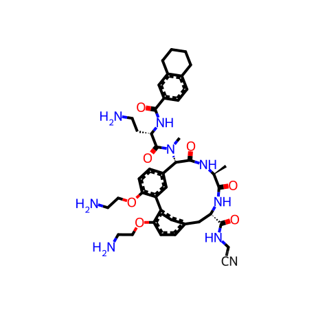 C[C@@H]1NC(=O)[C@@H](N(C)C(=O)[C@H](CCN)NC(=O)c2ccc3c(c2)CCCC3)c2ccc(OCCN)c(c2)-c2cc(ccc2OCCN)C[C@@H](C(=O)NCC#N)NC1=O